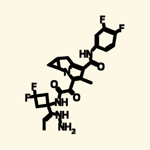 C/C=C(\NN)C1(NC(=O)C(=O)c2c(C)c(C(=O)Nc3ccc(F)c(F)c3)c3n2C2CC2C3)CC(F)(F)C1